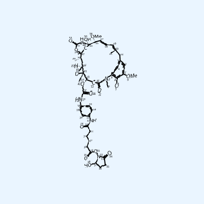 COc1cc2cc(c1Cl)N(C)C(=O)C[C@H](OC(=O)Nc1ccc(NC(=O)CCCCC(=O)ON3C(=O)CCC3O)cc1)[C@]1(C)O[C@H]1[C@H](C)[C@@H]1C[C@@](O)(NC(=O)O1)[C@H](OC)/C=C/C=C(\C)C2